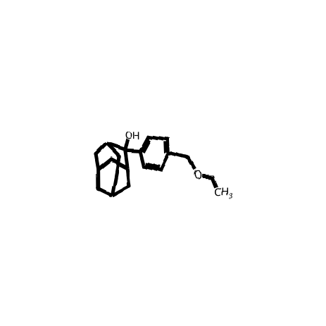 CCOCc1ccc(C2(O)C3CC4CC(C3)CC2C4)cc1